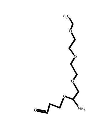 CCOCCOCCOCC(N)OCC[C]=O